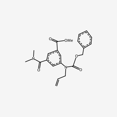 C=CCN(C(=O)OCc1ccccc1)c1cc(C(=O)OC)cc(C(=O)N(C)C)c1